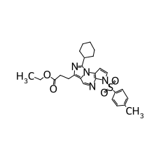 CCOC(=O)CCc1nc(C2CCCCC2)n2c1cnc1c2ccn1S(=O)(=O)c1ccc(C)cc1